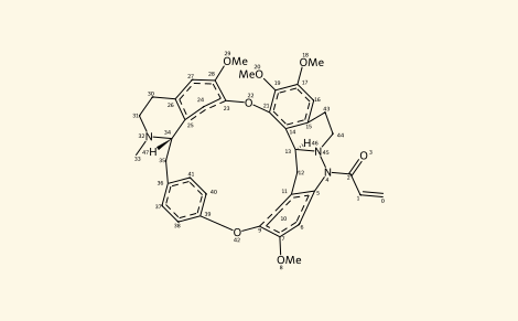 C=CC(=O)N1c2cc(OC)c3cc2C[C@H]2c4c(cc(OC)c(OC)c4Oc4cc5c(cc4OC)CCN(C)[C@H]5Cc4ccc(cc4)O3)CCN21